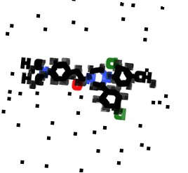 Cc1ccc(N2CCN(C(=O)Cc3ccc(N(C)C)cc3)CC2c2ccc(Cl)cc2)c(Cl)c1